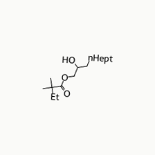 CCCCCCCCC(O)COC(=O)C(C)(C)CC